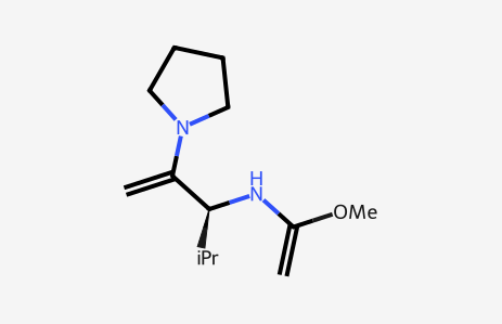 C=C(N[C@H](C(=C)N1CCCC1)C(C)C)OC